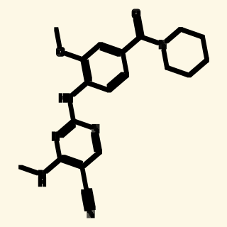 CNc1nc(Nc2ccc(C(=O)N3CCCCC3)cc2OC)ncc1C#N